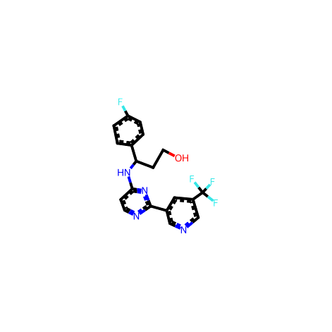 OCCC(Nc1ccnc(-c2cncc(C(F)(F)F)c2)n1)c1ccc(F)cc1